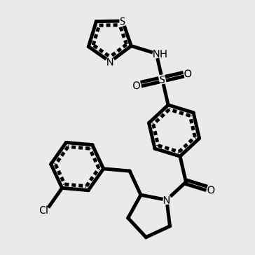 O=C(c1ccc(S(=O)(=O)Nc2nccs2)cc1)N1CCCC1Cc1cccc(Cl)c1